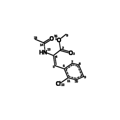 COC(=O)/C(=C\c1ccccc1Cl)NC(C)=O